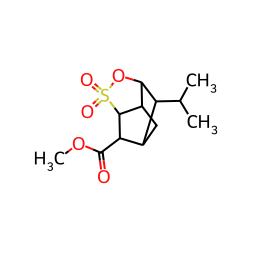 COC(=O)C1C2CC3C(OS(=O)(=O)C31)C2C(C)C